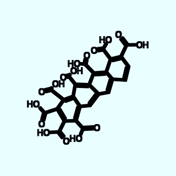 O=C(O)c1ccc2cc3cc4c(C(=O)O)c(C(=O)O)c(C(=O)O)c(C(=O)O)c4c(C(=O)O)c3c(C(=O)O)c2c1C(=O)O